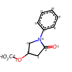 O=C(O)OC1CC(=O)N(c2ccccc2)C1